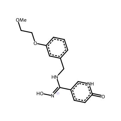 COCCOc1cccc(CN/C(=N\O)c2ccc(=O)[nH]c2)c1